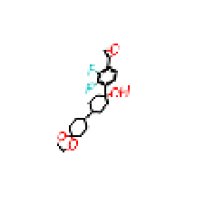 OC1(c2ccc(C3CO3)c(F)c2F)CCC(C2CCC3(CC2)OCCO3)CC1